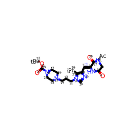 CC(=O)N1CC(=O)N/C(=C\c2ncn(CCCN3CCN(C(=O)OC(C)(C)C)CC3)c2C(C)C)C1=O